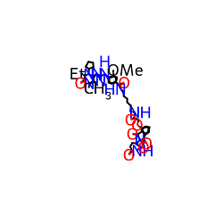 CCC1C(=O)N(C)c2cnc(Nc3ccc(C(=O)NCCCCCCNC(=O)COc4cccc5c4C(=O)N(C4CCC(=O)NC4=O)C5=O)cc3OC)nc2N1C1CCCC1